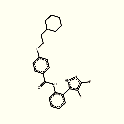 O=C(Nc1ccccc1-c1[nH]nc(F)c1F)c1ccc(OCCN2CCCCC2)cc1